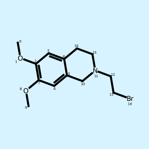 COc1cc2c(cc1OC)CN(CCBr)CC2